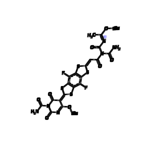 C/C(=N\C(=O)N(C(N)=O)C(=O)C=C1Sc2c(F)c3c(c(F)c2S1)SC(=C1C(=O)N(C(N)=O)C(=O)N=C1OC(C)(C)C)S3)OC(C)(C)C